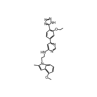 CCOc1cc(-c2cc(NCCn3c(C)cc4c(OC)cccc43)ncn2)ccc1-c1nnn[nH]1